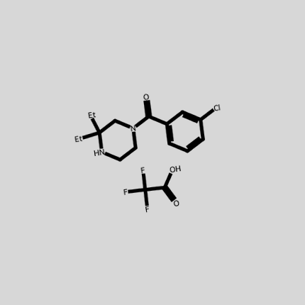 CCC1(CC)CN(C(=O)c2cccc(Cl)c2)CCN1.O=C(O)C(F)(F)F